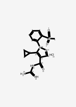 CS(=O)(=O)c1ccccc1-n1ncc(C(=O)NC(=N)N)c1C1CC1.Cl